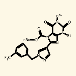 CCCCOC(=O)n1c(-c2cnn(Cc3cccc(C(F)(F)F)c3)c2)nc2c1c(=O)n(CCC)c(=O)n2CC